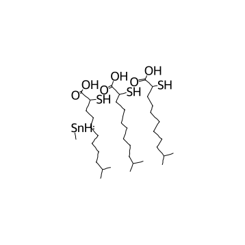 CC(C)CCCCCCCC(S)C(=O)O.CC(C)CCCCCCCC(S)C(=O)O.CC(C)CCCCCCCC(S)C(=O)O.[CH3][SnH]